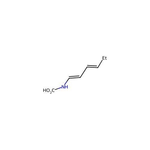 CCC=CC=CNC(=O)O